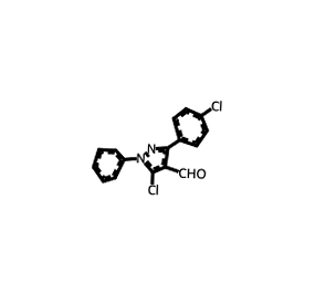 O=Cc1c(-c2ccc(Cl)cc2)nn(-c2ccccc2)c1Cl